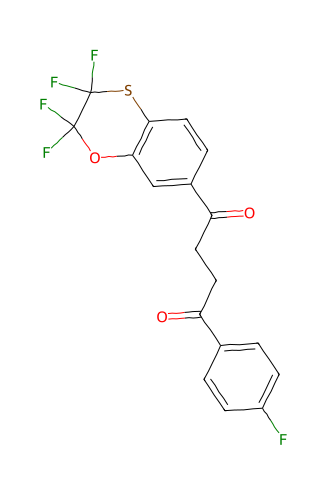 O=C(CCC(=O)c1ccc2c(c1)OC(F)(F)C(F)(F)S2)c1ccc(F)cc1